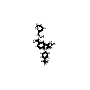 Cn1nc2c3cc(C(=O)NCc4ccccn4)ccc3n(-c3ccc(C(F)(F)F)cc3)c2n1